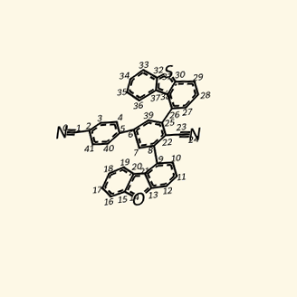 N#Cc1ccc(-c2cc(-c3cccc4oc5ccccc5c34)c(C#N)c(-c3cccc4sc5ccccc5c34)c2)cc1